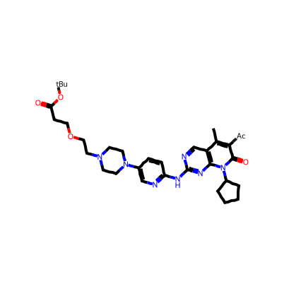 CC(=O)c1c(C)c2cnc(Nc3ccc(N4CCN(CCOCCC(=O)OC(C)(C)C)CC4)cn3)nc2n(C2CCCC2)c1=O